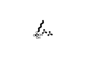 CCCCCCOP(=O)(O)O.CN(C)C.CN(C)C